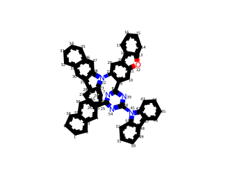 c1ccc2cc(-c3nc(-c4cc5oc6ccccc6c5cc4-n4c5ccccc5c5cc6ccccc6cc54)nc(-n4c5ccccc5c5ccccc54)n3)ccc2c1